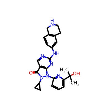 CC(C)(O)c1cccc(-n2c3nc(Nc4ccc5c(c4)CCNC5)ncc3c(=O)n2C2CC2)n1